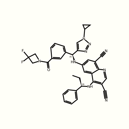 CC[C@@H](Nc1c(C#N)cnc2c(C#N)cc(N[C@@H](c3cccc(C(=O)N4CC(F)(F)C4)c3)c3cn(C4CC4)nn3)cc12)c1ccccc1